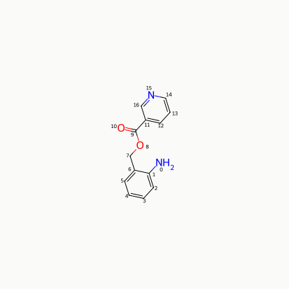 Nc1ccccc1COC(=O)c1cccnc1